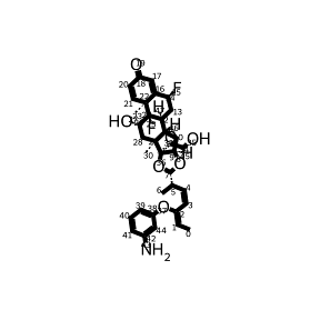 C/C=C(\C=C/C(C)[C@H]1O[C@@H]2C[C@H]3[C@@H]4C[C@H](F)C5=CC(=O)C=C[C@]5(C)[C@@]4(F)[C@@H](O)C[C@]3(C)[C@]2(C(=O)CO)O1)Oc1cccc(N)c1